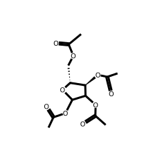 CC(=O)OC[C@H]1OC(OC(C)=O)C(OC(C)=O)[C@@H]1OC(C)=O